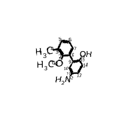 COc1c(C)cccc1-c1cc(N)ccc1O